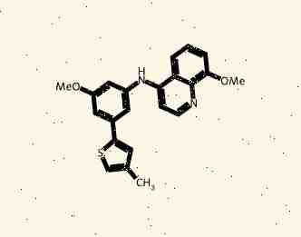 COc1cc(Nc2ccnc3c(OC)cccc23)cc(-c2cc(C)cs2)c1